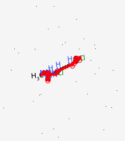 Cn1cc(-n2cnc3c(NCc4nc5cc(Cl)c(NCCCCCCCCCNC(=O)COc6ccc7c(c6)CCCN7C(=O)CCl)cc5[nH]4)nc(N4CCOCC4)nc32)cn1